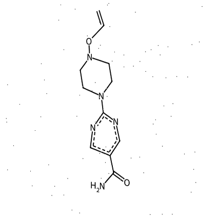 C=CON1CCN(c2ncc(C(N)=O)cn2)CC1